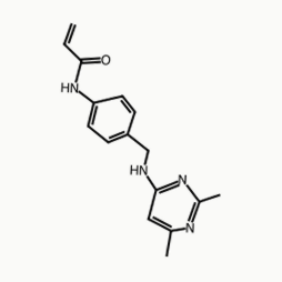 C=CC(=O)Nc1ccc(CNc2cc(C)nc(C)n2)cc1